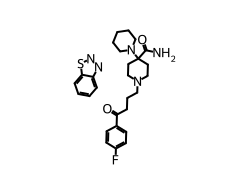 NC(=O)C1(N2CCCCC2)CCN(CCCC(=O)c2ccc(F)cc2)CC1.c1ccc2snnc2c1